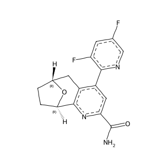 NC(=O)c1cc(-c2ncc(F)cc2F)c2c(n1)[C@H]1CC[C@H](C2)O1